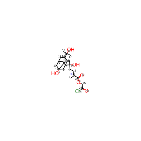 C/C(=C\CC(C)(O)C12CC3CC(O)(CC(C(C)(C)O)(C3)C1)C2)C(=O)OCC(=O)Cl